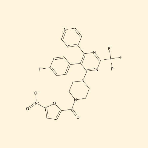 O=C(c1ccc([N+](=O)[O-])o1)N1CCN(c2nc(C(F)(F)F)nc(-c3ccncc3)c2-c2ccc(F)cc2)CC1